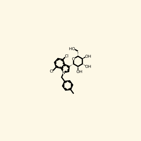 Cc1ccc(Cn2cc([C@@H]3O[C@H](CO)[C@@H](O)[C@H](O)[C@H]3O)c3c(Cl)ccc(Cl)c32)cc1